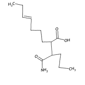 CCC=CCCCC(C(=O)O)C(CCC)C(N)=O